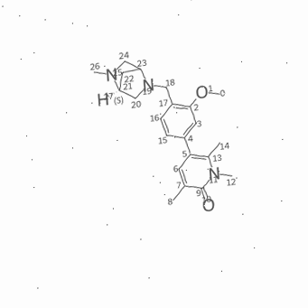 COc1cc(-c2cc(C)c(=O)n(C)c2C)ccc1CN1C[C@@H]2CC1CN2C